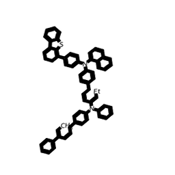 C/C=C(\C=C/Cc1ccc(N(C(/C=C\Cc2ccc(N(c3ccc(C4=c5sc6ccccc6c5=CCC4)cc3)c3cccc4ccccc34)cc2)=C/CC)c2ccccc2)cc1)c1ccccc1